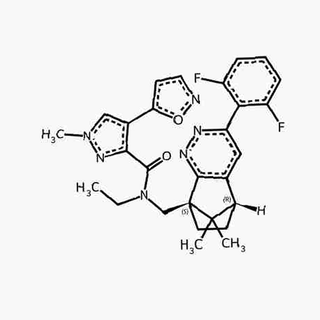 CCN(C[C@@]12CC[C@@H](c3cc(-c4c(F)cccc4F)nnc31)C2(C)C)C(=O)c1nn(C)cc1-c1ccno1